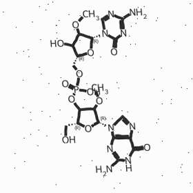 COC1C(O)[C@@H](COP(=O)(O)OC2C(OC)[C@H](n3cnc4c(=O)[nH]c(N)nc43)O[C@@H]2CO)O[C@H]1n1cnc(N)nc1=O